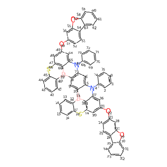 c1ccc(N2c3cc4c(cc3B3c5ccccc5Sc5cc(Oc6ccc7c(c6)oc6ccccc67)cc2c53)B2c3ccccc3Sc3cc(Oc5ccc6c(c5)oc5ccccc56)cc(c32)N4c2ccccc2)cc1